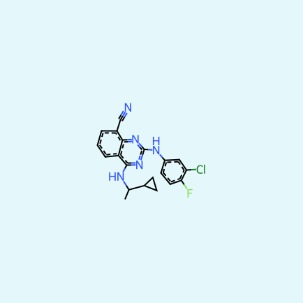 CC(Nc1nc(Nc2ccc(F)c(Cl)c2)nc2c(C#N)cccc12)C1CC1